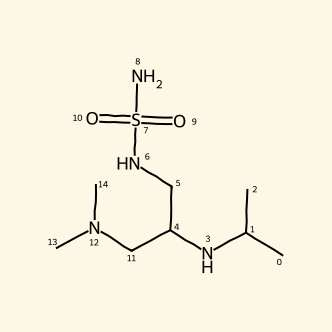 CC(C)NC(CNS(N)(=O)=O)CN(C)C